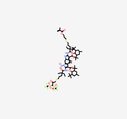 C=C(C)C(=O)OCCCSCCCC(CC)(CC)C(=O)NC1=NC(Cc2c(C(C)C)c(C(=O)OC3C(C(C)(C)C)CC(C)CC3C(C)(C)C)c(NC(=O)C(CC)(CC)CCCSCC(=O)C(S(=O)(=O)C(F)(F)F)S(=O)(=O)C(F)(F)F)n2[N+](=O)[O-])C(C(C)C)=C1C(=O)OC1C(C(C)(C)C)CC(C)CC1C(C)(C)C